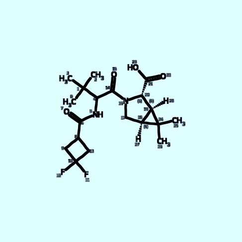 CC(C)(C)C(NC(=O)C1CC(F)(F)C1)C(=O)N1C[C@H]2[C@@H]([C@H]1C(=O)O)C2(C)C